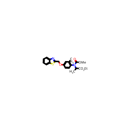 CCOC(=O)C(C)N(C(=O)OC)c1ccc(OCc2nc3ccccc3s2)cc1C